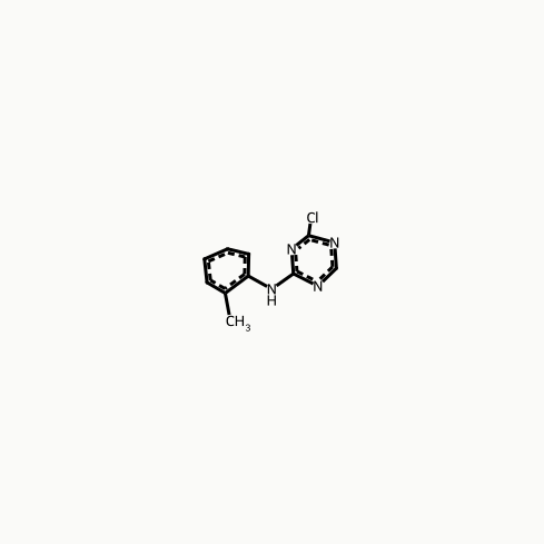 Cc1ccccc1Nc1ncnc(Cl)n1